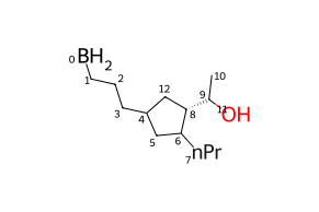 BCCCC1CC(CCC)[C@@H](C(C)O)C1